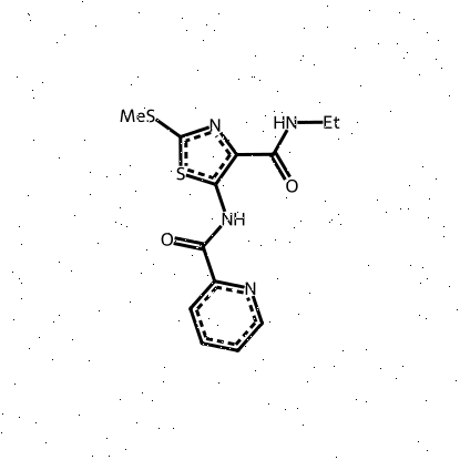 CCNC(=O)c1nc(SC)sc1NC(=O)c1ccccn1